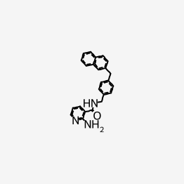 Nc1ncccc1C(=O)NCc1ccc(Cc2ccc3ccccc3c2)cc1